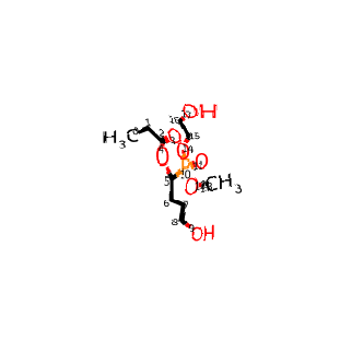 CCC(=O)OC(CCCO)P(=O)(OC)OCCO